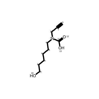 C#CCN(CCCCCCO)C(=O)O